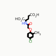 Cc1cc(Cl)ccc1OCC(=O)N[C@@H](CCC(=O)O)C(=O)O